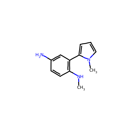 CNc1ccc(N)cc1-c1cccn1C